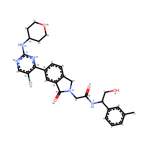 Cc1cccc(C(CO)NC(=O)CN2Cc3ccc(-c4nc(NC5CCOCC5)ncc4Cl)cc3C2=O)c1